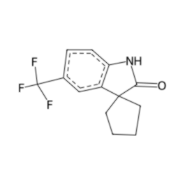 O=C1Nc2ccc(C(F)(F)F)cc2C12CCCC2